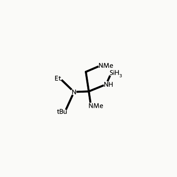 CCN(C(C)(C)C)C(CNC)(NC)N[SiH3]